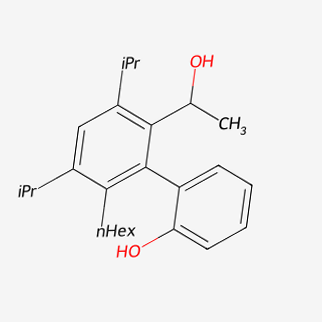 CCCCCCc1c(C(C)C)cc(C(C)C)c(C(C)O)c1-c1ccccc1O